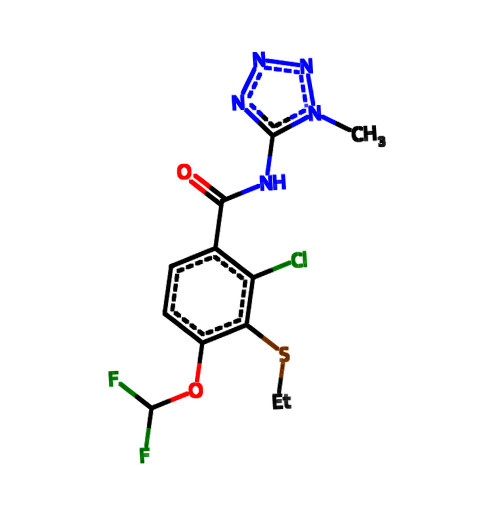 CCSc1c(OC(F)F)ccc(C(=O)Nc2nnnn2C)c1Cl